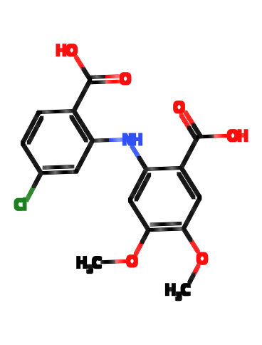 COc1cc(Nc2cc(Cl)ccc2C(=O)O)c(C(=O)O)cc1OC